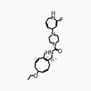 CCOC1C=CC/C([C@@H](C)NC(=O)N2CCN(C3C=CCNC(F)=C3)CC2)=C(C)\C=C/C1